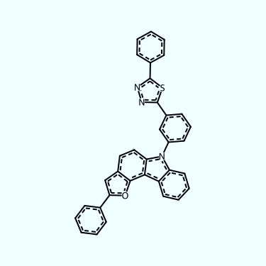 c1ccc(-c2cc3ccc4c(c5ccccc5n4-c4cccc(-c5nnc(-c6ccccc6)s5)c4)c3o2)cc1